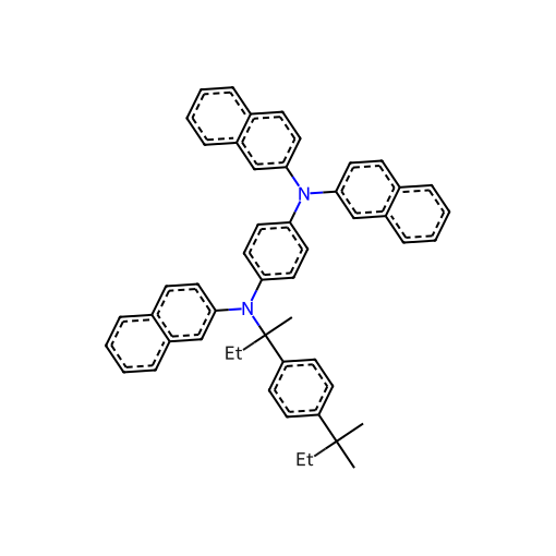 CCC(C)(C)c1ccc(C(C)(CC)N(c2ccc(N(c3ccc4ccccc4c3)c3ccc4ccccc4c3)cc2)c2ccc3ccccc3c2)cc1